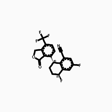 N#Cc1cc(F)cc2c1[C@@H](c1ccc(C(F)(F)F)c3c1C(=O)OC3)CC[C@@H]2F